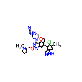 Cc1cc2[nH]ncc2c(-c2cc3nc(OC[C@@H]4CCCN4C)nc(N4CCN[C@@H](CC#N)C4)c3c3occc23)c1Cl